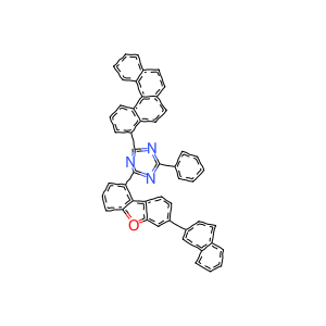 c1ccc(-c2nc(-c3cccc4c3ccc3ccc5ccccc5c34)nc(-c3cccc4oc5cc(-c6ccc7ccccc7c6)ccc5c34)n2)cc1